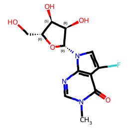 Cn1cnc2c(c(F)cn2[C@@H]2O[C@H](CO)[C@@H](O)[C@H]2O)c1=O